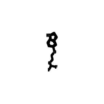 FC(F)OCCOc1ccc2[nH]ccc2c1